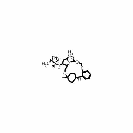 CC1CC(NS(=O)(=O)N(C)C)C2CO[C@H]3CC[C@H](CC3)c3ccccc3CCOC(=O)N12